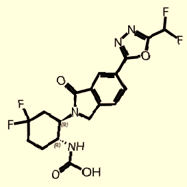 O=C(O)N[C@@H]1CCC(F)(F)C[C@H]1N1Cc2ccc(-c3nnc(C(F)F)o3)cc2C1=O